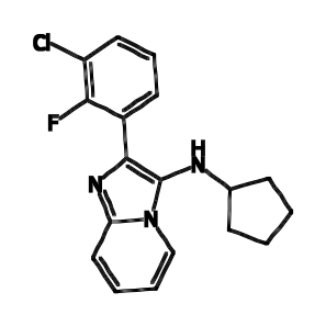 Fc1c(Cl)cccc1-c1nc2ccccn2c1NC1CCCC1